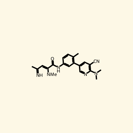 CN/C(=C\C(C)=N)C(=O)Nc1ccc(C)c(-c2cnc(N(C)C)c(C#N)c2)c1